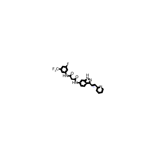 O=C(CC(=O)Nc1ccc2c(/C=C/c3ccccn3)n[nH]c2c1)Nc1cc(F)cc(C(F)(F)F)c1